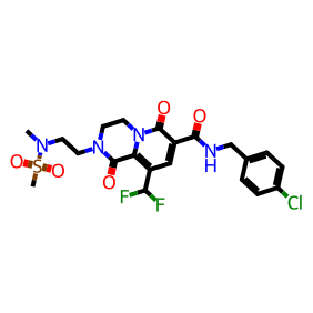 CN(CCN1CCn2c(c(C(F)F)cc(C(=O)NCc3ccc(Cl)cc3)c2=O)C1=O)S(C)(=O)=O